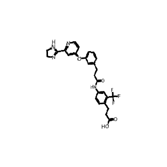 O=C(O)CCc1ccc(NC(=O)CCc2cccc(Oc3ccnc(C4=NCCN4)c3)c2)cc1C(F)(F)F